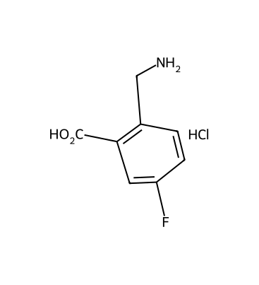 Cl.NCc1ccc(F)cc1C(=O)O